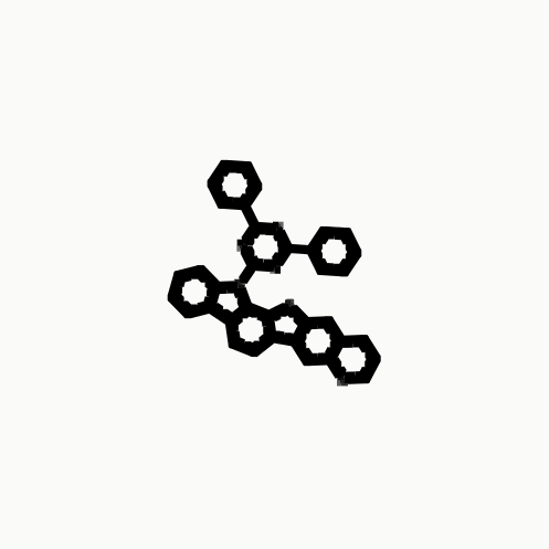 c1ccc(-c2nc(-c3ccccc3)nc(-n3c4ccccc4c4ccc5c6cc7ncccc7cc6sc5c43)n2)cc1